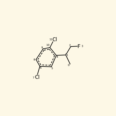 C[C](CF)c1cc(Cl)ccc1Cl